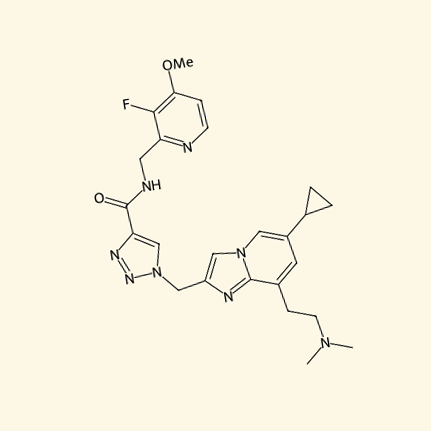 COc1ccnc(CNC(=O)c2cn(Cc3cn4cc(C5CC5)cc(CCN(C)C)c4n3)nn2)c1F